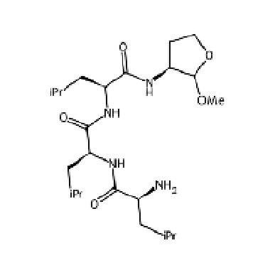 COC1OCC[C@@H]1NC(=O)[C@H](CC(C)C)NC(=O)[C@H](CC(C)C)NC(=O)[C@@H](N)CC(C)C